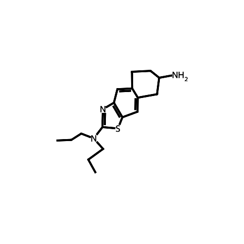 CCCN(CCC)c1nc2cc3c(cc2s1)CC(N)CC3